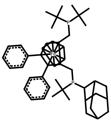 CC(C)(C)P(C[C]12[C]3(CP(C(C)(C)C)C(C)(C)C)[CH]4[C]5(c6ccccc6)[C]1(c1ccccc1)[Fe]43521678[CH]2[CH]1[CH]6[CH]7[CH]28)C1C2CC3CC(C2)CC1C3